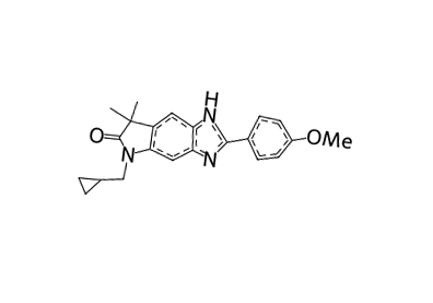 COc1ccc(-c2nc3cc4c(cc3[nH]2)C(C)(C)C(=O)N4CC2CC2)cc1